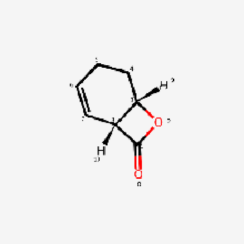 O=C1O[C@H]2CCC=C[C@@H]12